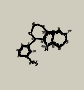 Nc1cccc(C2OCCc3c2[nH]c2ccccc32)c1